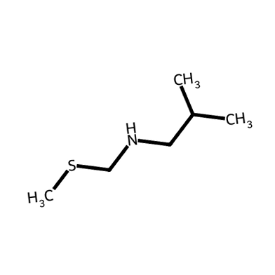 CSCNCC(C)C